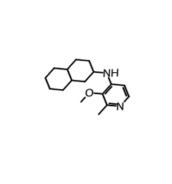 COc1c(NC2CCC3CCCCC3C2)ccnc1C